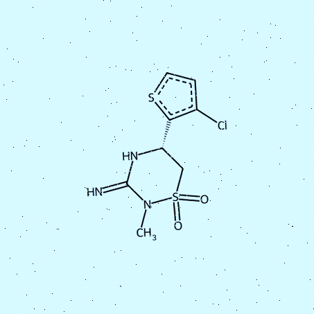 CN1C(=N)N[C@H](c2sccc2Cl)CS1(=O)=O